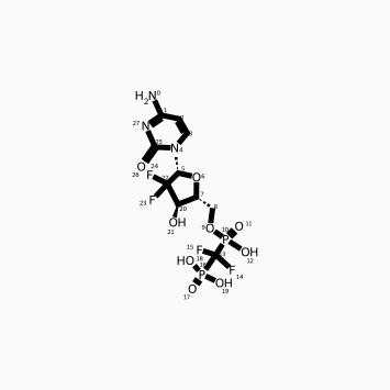 Nc1ccn([C@@H]2O[C@H](COP(=O)(O)C(F)(F)P(=O)(O)O)[C@@H](O)C2(F)F)c(=O)n1